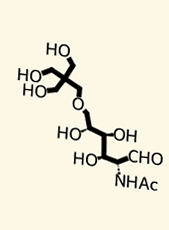 CC(=O)N[C@@H](C=O)[C@@H](O)[C@H](O)[C@H](O)COCC(CO)(CO)CO